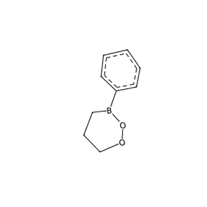 c1ccc(B2CCCOO2)cc1